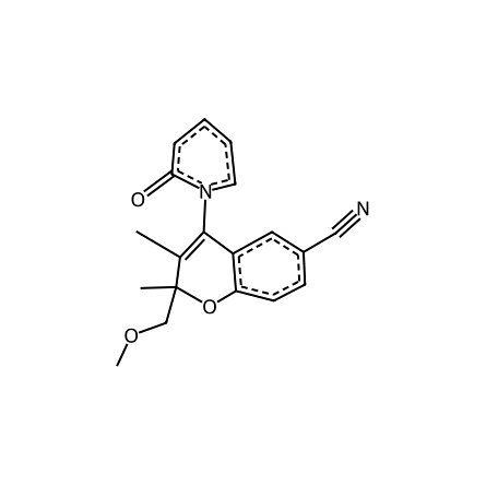 COCC1(C)Oc2ccc(C#N)cc2C(n2ccccc2=O)=C1C